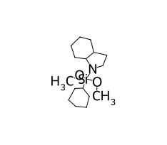 CO[Si](OC)(C1CCCCC1)N1CCC2CCCCC21